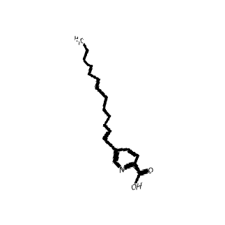 CCCCCCCCCCCC=Cc1ccc(C(=O)O)nc1